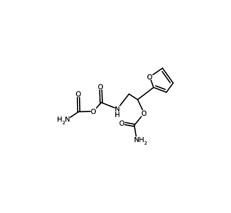 NC(=O)OC(=O)NCC(OC(N)=O)c1ccco1